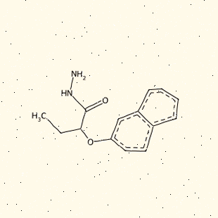 CCC(Oc1ccc2ccccc2c1)C(=O)NN